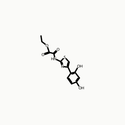 CCOC(=O)C(=O)Nc1nc(-c2ccc(O)cc2O)cs1